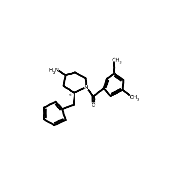 Cc1cc(C)cc(C(=O)N2CCC(N)C[C@@H]2Cc2ccccc2)c1